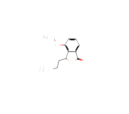 CCCC1OC(=O)c2cccc(OC)c21